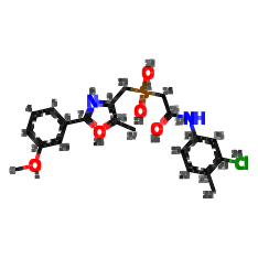 COc1cccc(-c2nc(CS(=O)(=O)CC(=O)Nc3ccc(C)c(Cl)c3)c(C)o2)c1